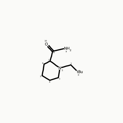 CC(C)(C)CN1CCCCC1C(N)=O